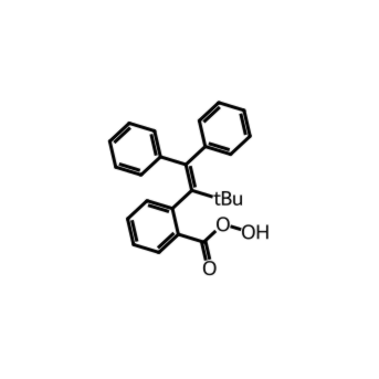 CC(C)(C)C(=C(c1ccccc1)c1ccccc1)c1ccccc1C(=O)OO